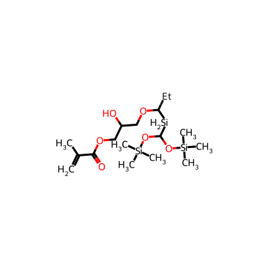 C=C(C)C(=O)OCC(O)COC(CC)[SiH2]C(O[Si](C)(C)C)O[Si](C)(C)C